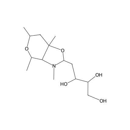 CC1CC2(C)OC(CC(O)C(O)CO)N(C)C2C(C)O1